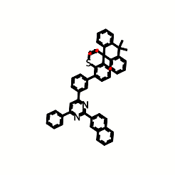 CC1(C)c2ccccc2C2(c3ccccc3Sc3c(-c4cccc(-c5cc(-c6ccccc6)nc(-c6ccc7ccccc7c6)n5)c4)cccc32)c2ccccc21